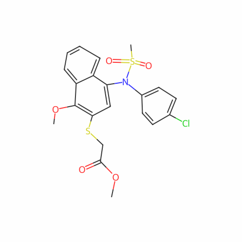 COC(=O)CSc1cc(N(c2ccc(Cl)cc2)S(C)(=O)=O)c2ccccc2c1OC